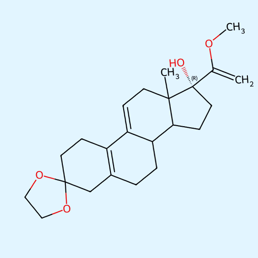 C=C(OC)[C@@]1(O)CCC2C3CCC4=C(CCC5(C4)OCCO5)C3=CCC21C